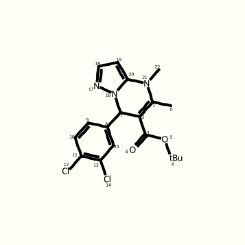 CC1=C(C(=O)OC(C)(C)C)C(c2ccc(Cl)c(Cl)c2)n2nccc2N1C